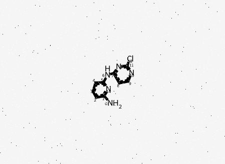 Nc1cccc(Nc2ccnc(Cl)n2)n1